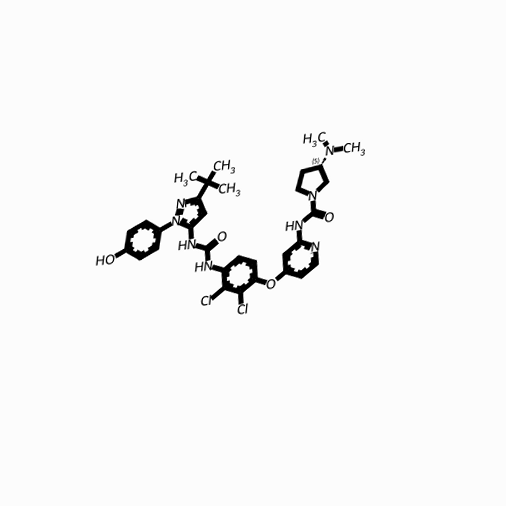 CN(C)[C@H]1CCN(C(=O)Nc2cc(Oc3ccc(NC(=O)Nc4cc(C(C)(C)C)nn4-c4ccc(O)cc4)c(Cl)c3Cl)ccn2)C1